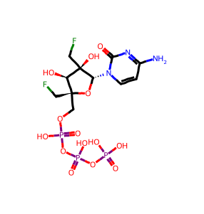 Nc1ccn([C@@H]2O[C@](CF)(COP(=O)(O)OP(=O)(O)OP(=O)(O)O)[C@@H](O)[C@]2(O)CF)c(=O)n1